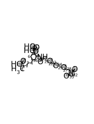 CC(CCCc1ccc(OP(=O)(O)O)c(NC(=O)CCOCCOCCOCCN2C(=O)C=CC2=O)c1)C(=O)O